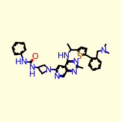 Cc1nc(NC(C)c2ccc(-c3ccccc3CN(C)C)s2)c2cc(N3CC(NC(=O)Nc4ccccc4)C3)ncc2n1